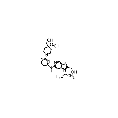 COC1(CO)CCN(c2nccc(Nc3cc4c(cn3)nc(CO)n4C(C)C)n2)CC1